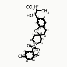 C[C@H](C(=O)O)[C@@H](O)c1ccc2c(c1)OC1(CC2)CCN(S(=O)(=O)c2cc(Cl)ccc2Cl)CC1